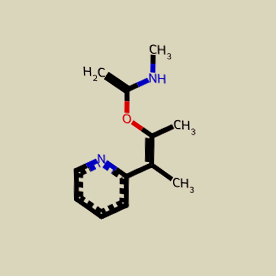 C=C(NC)O/C(C)=C(/C)c1ccccn1